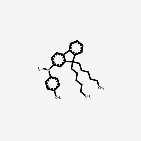 CCCCCCC1(CCCCCC)c2ccccc2-c2ccc(N(C)c3ccc(C)cc3)cc21